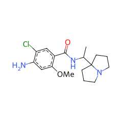 COc1cc(N)c(Cl)cc1C(=O)NC(C)C12CCCN1CCC2